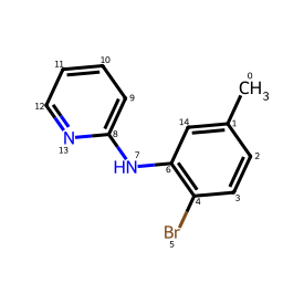 Cc1ccc(Br)c(Nc2ccccn2)c1